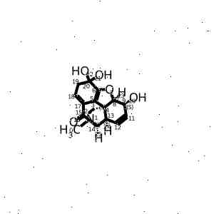 CN1CC[C@]23C4=C5O[C@H]2[C@@H](O)C#C[C@H]3[C@H]1C(=O)C4=CCC5(O)O